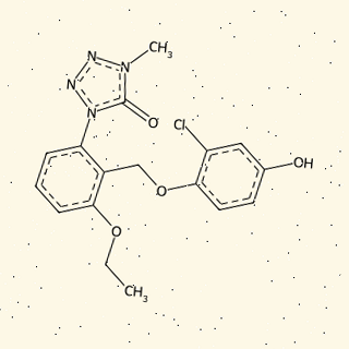 CCOc1cccc(-n2nnn(C)c2=O)c1COc1ccc(O)cc1Cl